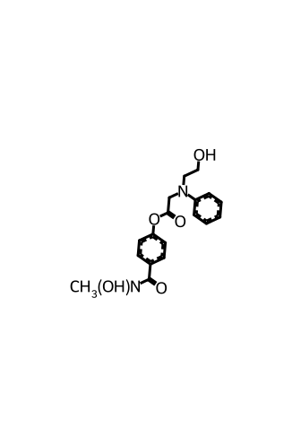 CN(O)C(=O)c1ccc(OC(=O)CN(CCO)c2ccccc2)cc1